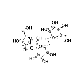 OCC1O[C@H](OCC2O[C@@H](O[C@]3(CO)O[C@H](CO)[C@@H](O)[C@H]3O)C(O)[C@H](O)[C@@H]2O)C(O)[C@H](O)[C@H]1O